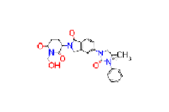 C[C@@H]1CN(c2ccc3c(c2)CN(C2CCC(=O)N(CO)C2=O)C3=O)C(=O)N1c1ccccc1